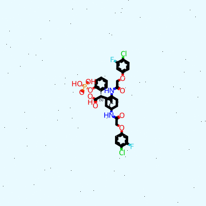 O=C(COc1ccc(Cl)c(F)c1)NC12CCC(NC(=O)COc3ccc(Cl)c(F)c3)(CC1)C([C@H](C(=O)O)c1ccccc1OP(=O)(O)O)C2